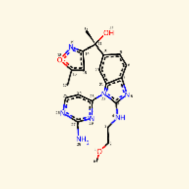 COCCNc1nc2ccc([C@@](C)(O)c3cc(C)on3)cc2n1-c1ccnc(N)n1